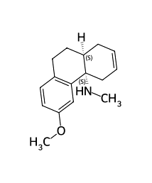 CN[C@@]12CC=CC[C@@H]1CCc1ccc(OC)cc12